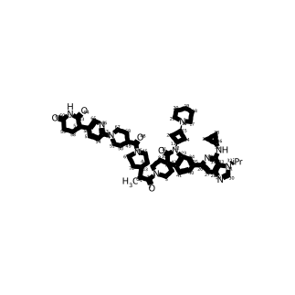 CC(C(=O)N1CCC2(CC1)C(=O)N([C@H]1C[C@@H](N3CCCCC3)C1)c1cc(-c3cc4ncn(C(C)C)c4c(NC4CC4)n3)ccc12)C1CCN(C(=O)C2CCN(c3ccc(C4CCC(=O)NC4=O)cn3)CC2)CC1